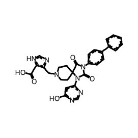 O=C(O)c1[nH]cnc1CN1CCC2(CC1)C(=O)N(c1ccc(-c3ccccc3)cc1)C(=O)N2c1cc(O)ncn1